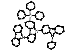 c1ccc(-n2c3ccccc3c3ccc(-n4c5cc([Si](c6ccccc6)(c6ccccc6)c6ccccc6)ccc5c5c(-n6c7ccccc7c7ccccc76)cccc54)cc32)cc1